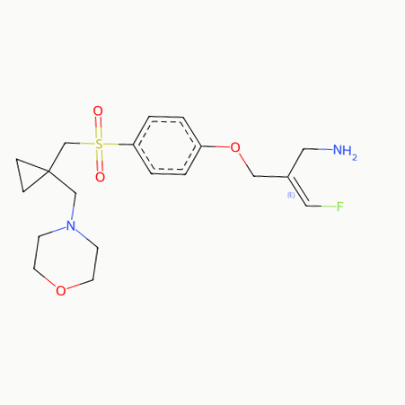 NC/C(=C\F)COc1ccc(S(=O)(=O)CC2(CN3CCOCC3)CC2)cc1